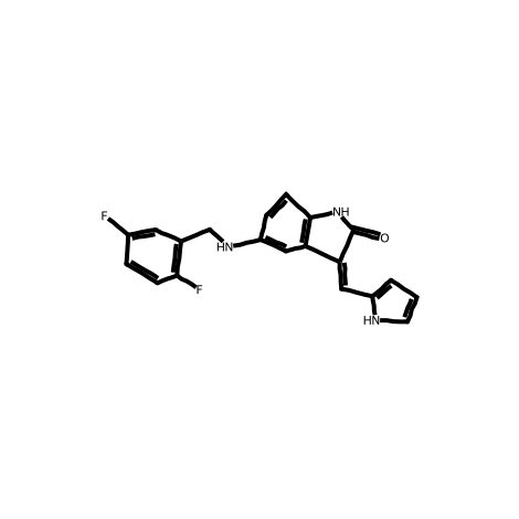 O=C1Nc2ccc(NCc3cc(F)ccc3F)cc2C1=Cc1ccc[nH]1